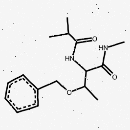 CNC(=O)C(NC(=O)C(C)C)C(C)OCc1ccccc1